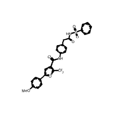 COc1ccc(-c2cc(C(=O)Nc3ccc(CC(=O)NS(=O)(=O)c4ccccc4)cc3)c(C(F)(F)F)o2)cc1